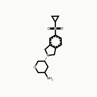 NC1COC[C@H](N2Cc3ccc(S(=O)(=O)C4CC4)cc3C2)C1